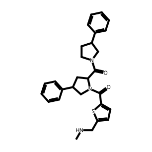 CNCc1ccc(C(=O)N2CC(c3ccccc3)CC2C(=O)N2CCC(c3ccccc3)C2)s1